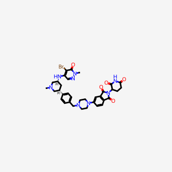 CN1C[C@H](Nc2cnn(C)c(=O)c2Br)C[C@H](c2ccc(CN3CCN(c4ccc5c(c4)C(=O)N(C4CCC(=O)NC4=O)C5=O)CC3)cc2)C1